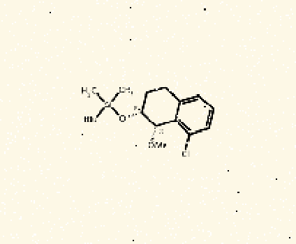 CO[C@H]1c2c(Cl)cccc2CC[C@H]1O[Si](C)(C)C(C)(C)C